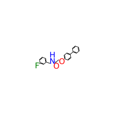 O=C(COc1ccc(-c2ccccc2)cc1)NCc1cccc(F)c1